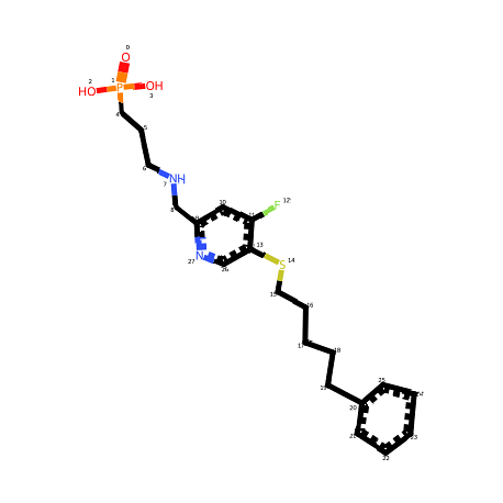 O=P(O)(O)CCCNCc1cc(F)c(SCCCCCc2ccccc2)cn1